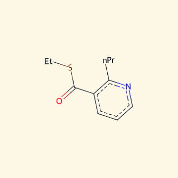 CCCc1ncccc1C(=O)SCC